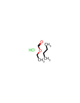 CCCC.CCOC=O.Cl